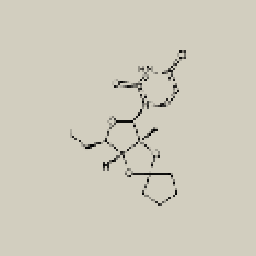 C[C@@]12OC3(CCCC3)O[C@@H]1[C@@H](CI)O[C@H]2n1ccc(=O)[nH]c1=O